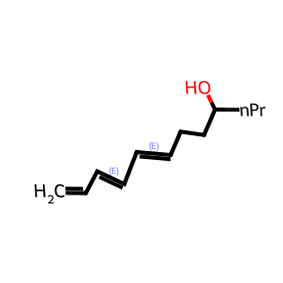 C=C/C=C/C=C/CCC(O)CCC